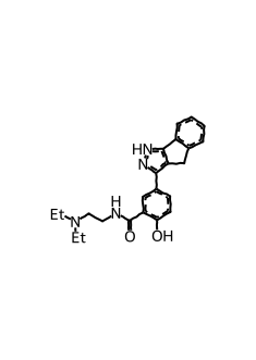 CCN(CC)CCNC(=O)c1cc(-c2n[nH]c3c2Cc2ccccc2-3)ccc1O